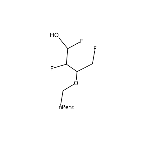 CCCCCCOC(CF)C(F)C(O)F